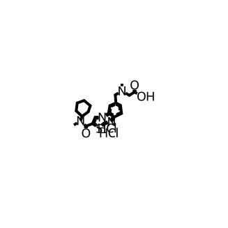 CN(CC(=O)O)Cc1ccc2nc3sc(C(=O)N(C)C4CCCCC4)cn3c2c1.Cl.Cl